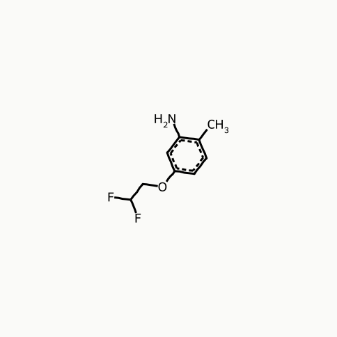 Cc1ccc(OCC(F)F)cc1N